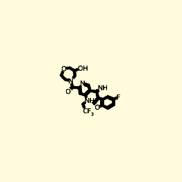 N=C(c1cnc(C(=O)N2CCOCC(O)C2)cc1NCC(F)(F)F)c1coc2ccc(F)cc12